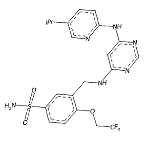 CC(C)c1ccc(Nc2cc(NCc3cc(S(N)(=O)=O)ccc3OCC(F)(F)F)ncn2)nc1